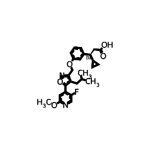 COc1cc(-c2onc(COc3cccc([C@@H](CC(=O)O)C4CC4)c3)c2CC(C)C)c(F)cn1